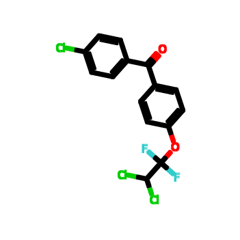 O=C(c1ccc(Cl)cc1)c1ccc(OC(F)(F)C(Cl)Cl)cc1